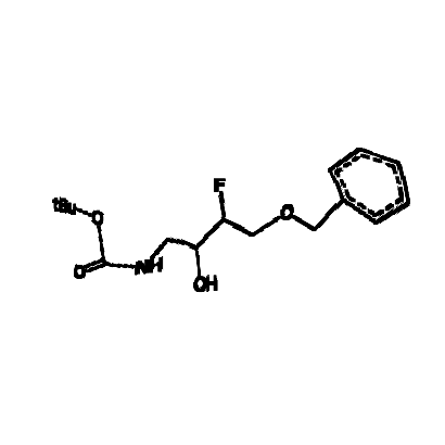 CC(C)(C)OC(=O)NCC(O)C(F)COCc1ccccc1